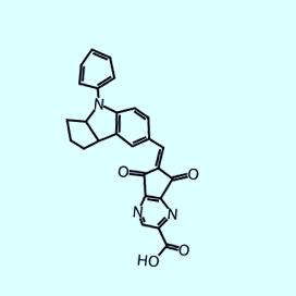 O=C(O)c1cnc2c(n1)C(=O)C(=Cc1ccc3c(c1)C1CCCC1N3c1ccccc1)C2=O